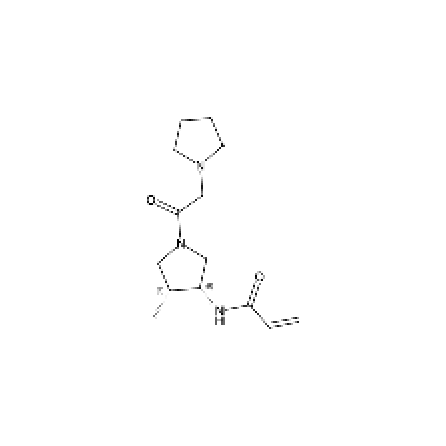 C=CC(=O)N[C@H]1CN(C(=O)CN2CCCC2)C[C@H]1C